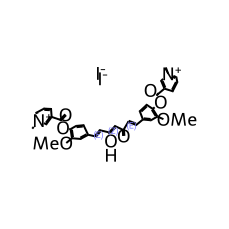 COc1cc(/C=C/C(=O)/C=C(O)/C=C/c2ccc(OC(=O)c3ccc[n+](C)c3)c(OC)c2)ccc1OC(=O)c1ccc[n+](C)c1.[I-].[I-]